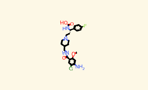 COc1cc(N)c(Cl)cc1C(=O)NCC1CCN(CC[C@H](NC(=O)O)c2ccc(F)cc2)CC1